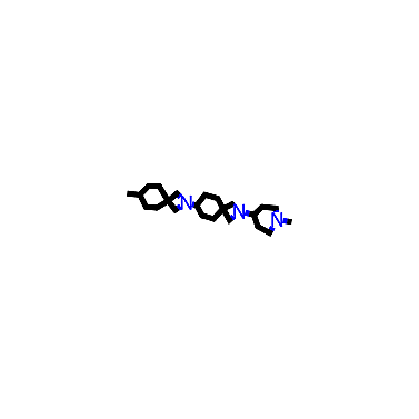 CC1CCC2(CC1)CN(C1CCC3(CC1)CN(C1CCN(C)CC1)C3)C2